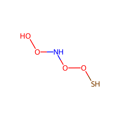 OONOOS